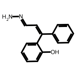 NN=CC=C(c1ccccc1)c1ccccc1O